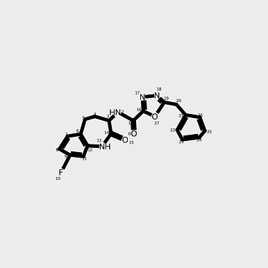 O=C(NC1CCc2ccc(F)cc2NC1=O)c1nnc(Cc2ccccc2)o1